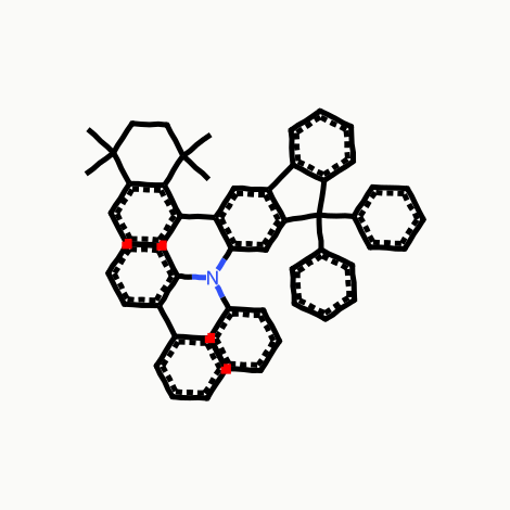 CC1(C)CCC(C)(C)c2c(-c3cc4c(cc3N(c3ccccc3)c3ccccc3-c3ccccc3)C(c3ccccc3)(c3ccccc3)c3ccccc3-4)cccc21